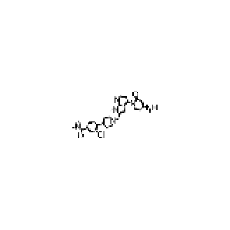 CNc1ccn(-c2ccnc3c2cc(CN2CC=C(c4ccc(C(=O)N(C)C)cc4Cl)CC2)n3C)c(=O)c1